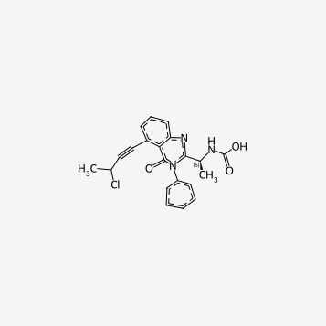 CC(Cl)C#Cc1cccc2nc([C@H](C)NC(=O)O)n(-c3ccccc3)c(=O)c12